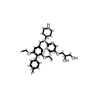 CCOc1cc(CN(c2ncc(OCC(O)CO)cn2)C2CCNCC2)cc(OCC)c1-c1ccc(F)cc1